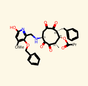 COc1cc(O)nc(CN[C@H]2CC(=O)C(=O)[C@H](Cc3ccccc3)[C@H](OC(=O)C(C)C)[C@H](C)C(=O)C2=O)c1OCc1ccccc1